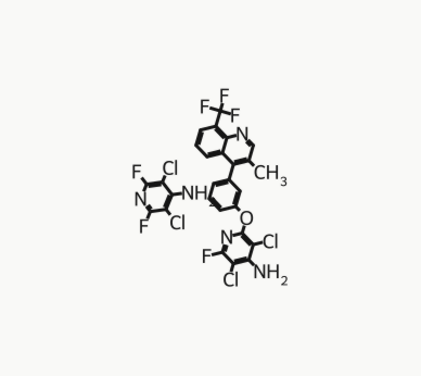 Cc1cnc2c(C(F)(F)F)cccc2c1-c1cccc(Oc2nc(F)c(Cl)c(N)c2Cl)c1.Nc1c(Cl)c(F)nc(F)c1Cl